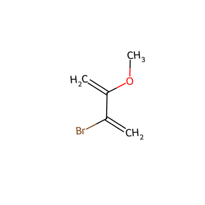 C=C(Br)C(=C)OC